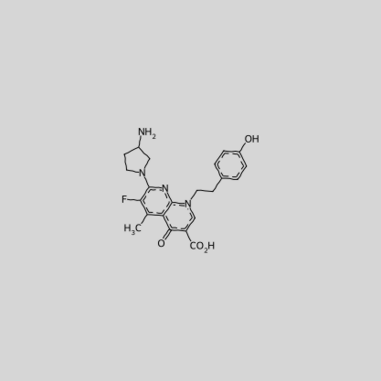 Cc1c(F)c(N2CCC(N)C2)nc2c1c(=O)c(C(=O)O)cn2CCc1ccc(O)cc1